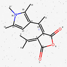 CC(C)=C1C(=O)OC(=O)/C1=C(\C)c1cc(C)n(C)c1C